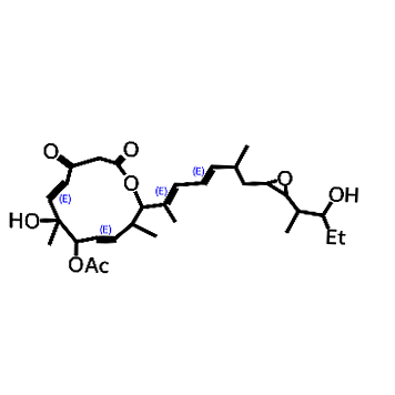 CCC(O)C(C)C1OC1CC(C)/C=C/C=C(\C)C1OC(=O)CC(=O)/C=C/C(C)(O)C(OC(C)=O)/C=C/C1C